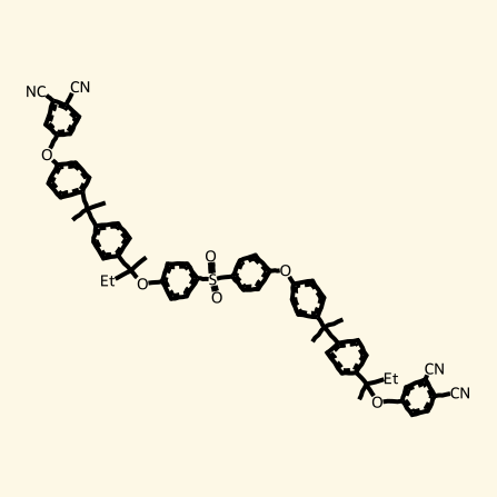 CCC(C)(Oc1ccc(S(=O)(=O)c2ccc(Oc3ccc(C(C)(C)c4ccc(C(C)(CC)Oc5ccc(C#N)c(C#N)c5)cc4)cc3)cc2)cc1)c1ccc(C(C)(C)c2ccc(Oc3ccc(C#N)c(C#N)c3)cc2)cc1